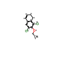 N#CCOc1c(Cl)cc2c(c1Cl)CCC=C2